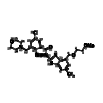 COCCOCc1cc(C(F)(F)F)cc2sc(NC(=O)c3cc(Cl)cc(CN4CCOCC4)c3O)nc12